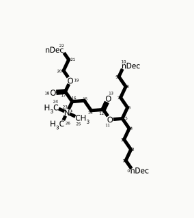 CCCCCCCCCCCCCCC(CCCCCCCCCCCCCC)OC(=O)CCC(C(=O)OCCCCCCCCCCCC)[N+](C)(C)C